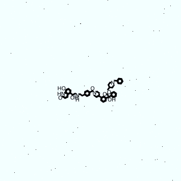 O=C(c1ccc(CCNC[C@H](O)c2ccc(O)c3[nH]c(=O)ccc23)cc1)N1CC=C(c2cccc([C@](O)(C(=O)OCC3CCN(Cc4ccccc4)CC3)c3ccccc3)c2)CC1